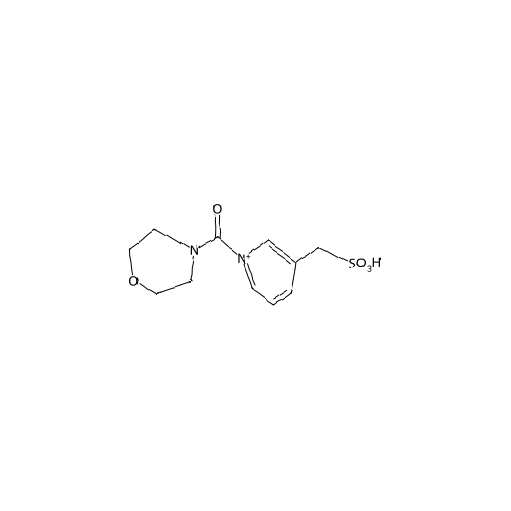 O=C(N1CCOCC1)[n+]1cccc(CS(=O)(=O)O)c1